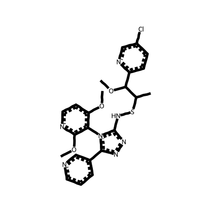 COc1ccnc(OC)c1-n1c(NSC(C)C(OC)c2ccc(Cl)cn2)nnc1-c1cccnc1